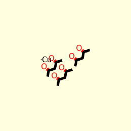 CC(=O)CC(C)=O.CC(=O)CC(C)=O.CC(=O)CC(C)=O.[Cu]